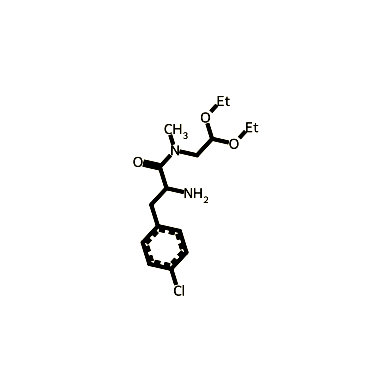 CCOC(CN(C)C(=O)C(N)Cc1ccc(Cl)cc1)OCC